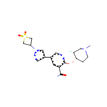 CN1CC[C@@H](Oc2ncc(-c3cnn(C4CS(=O)(=O)C4)c3)cc2C(N)=O)[C@@H](F)C1